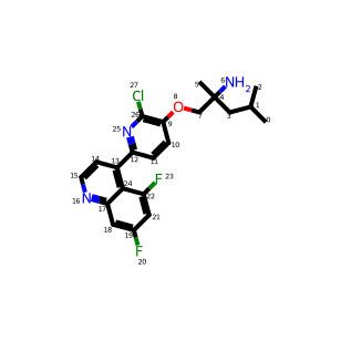 CC(C)CC(C)(N)COc1ccc(-c2ccnc3cc(F)cc(F)c23)nc1Cl